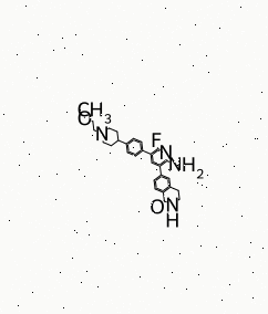 COCCN1CCC(c2ccc(-c3cc(-c4ccc5c(c4)CCNC5=O)c(N)nc3F)cc2)CC1